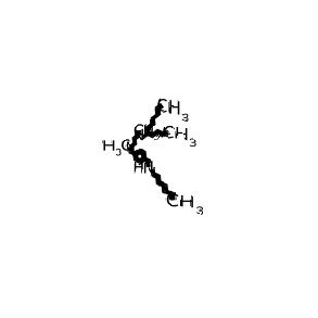 CCCCCCCCNCc1ccc(CN(C)CCN(C)CC(CCCC)CCCCCC)cc1